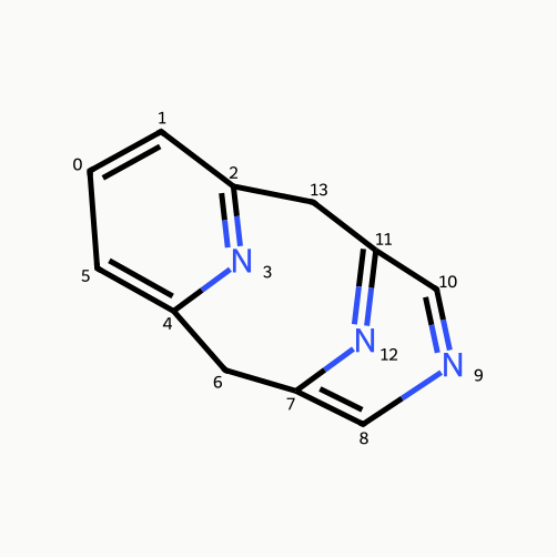 c1cc2nc(c1)Cc1cncc(n1)C2